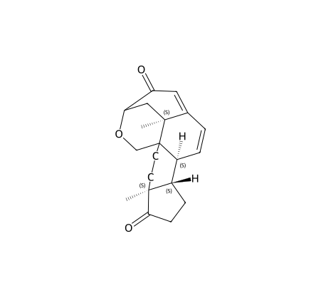 C[C@@]12CC3OCC14CC[C@]1(C)C(=O)CC[C@H]1[C@@H]4C=CC2=CC3=O